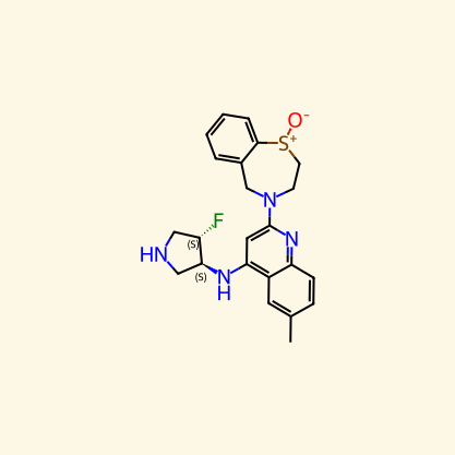 Cc1ccc2nc(N3CC[S+]([O-])c4ccccc4C3)cc(N[C@H]3CNC[C@@H]3F)c2c1